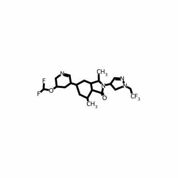 CC1CC(C2C=NCC(OC(F)F)C2)CC2C1C(=O)N(C1C=NN(CC(F)(F)F)C1)C2C